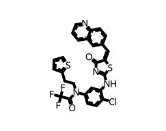 O=C1N=C(Nc2cc(N(CCc3cccs3)C(=O)C(F)(F)F)ccc2Cl)SC1=Cc1ccc2ncccc2c1